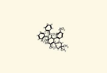 CCOC(=O)C1C(c2cccc([N+](=O)[O-])c2)C(P2OCC(C)(C)CO2)=C(C)NC1(C)N(Cc1ccccc1)c1ccccc1